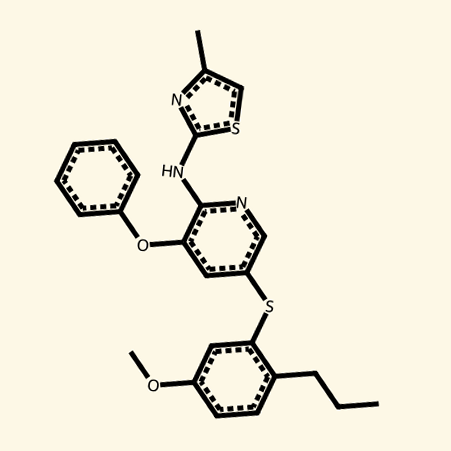 CCCc1ccc(OC)cc1Sc1cnc(Nc2nc(C)cs2)c(Oc2ccccc2)c1